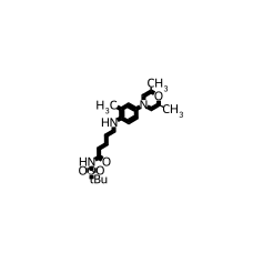 Cc1cc(N2C[C@@H](C)O[C@@H](C)C2)ccc1NCCCCC(=O)NS(=O)(=O)C(C)(C)C